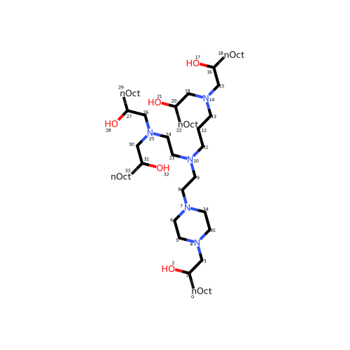 CCCCCCCCC(O)CN1CCN(CCN(CCCN(CC(O)CCCCCCCC)CC(O)CCCCCCCC)CCN(CC(O)CCCCCCCC)CC(O)CCCCCCCC)CC1